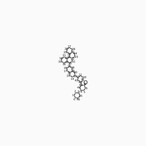 c1ccc(-c2ccc3oc4ccc(-c5ccc6ccc(-c7cc8ccc9ccccc9c8c8ccccc78)cc6c5)cc4c3c2)cc1